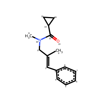 C/C(=C\c1ccccc1)CN(C)C(=O)C1CC1